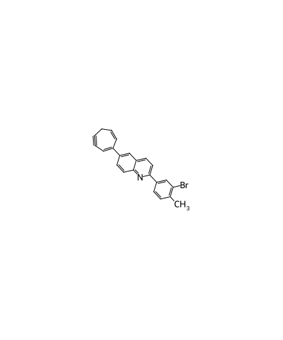 Cc1ccc(-c2ccc3cc(C4=CC#CCC=C4)ccc3n2)cc1Br